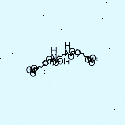 O=C(NCCCCC(NC(=O)Oc1ccc(CCCO[N+](=O)[O-])cc1)C(=O)O)Oc1ccc(CCCO[N+](=O)[O-])cc1